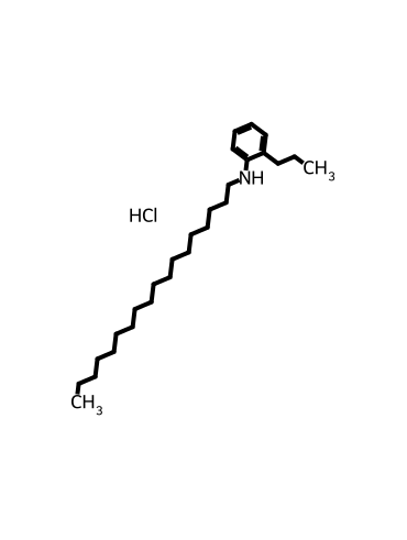 CCCCCCCCCCCCCCCCCCNc1ccccc1CCC.Cl